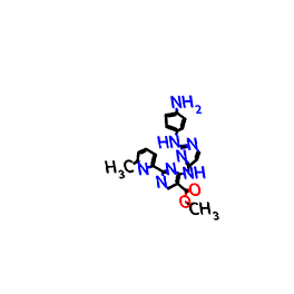 COC(=O)c1cnc(-c2cccc(C)n2)nc1Nc1ccnc(Nc2ccc(N)cc2)n1